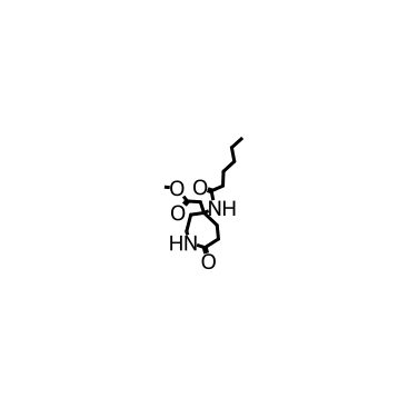 CCCCCC(=O)NC1(CC(=O)OC)CCNC(=O)CC1